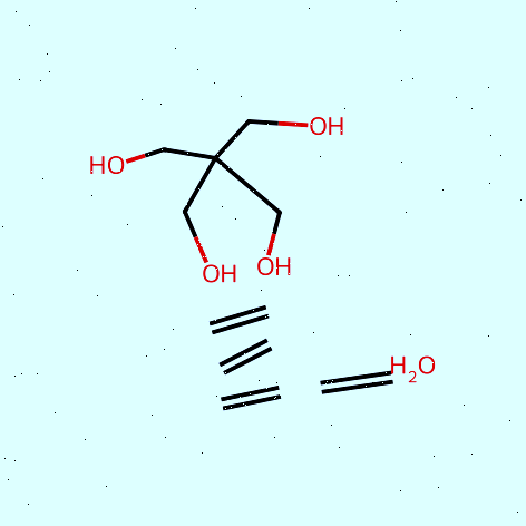 C=C.C=C.C=C.C=C.O.OCC(CO)(CO)CO